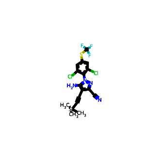 C[Si](C)(C)C#Cc1c(C#N)nn(-c2c(Cl)cc(SC(F)(F)F)cc2Cl)c1N